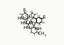 CC1CCC(NC(=O)NC2CCC(F)CN2)C(Oc2ccc(F)cc2C2(C(F)(F)F)CCO2)N1